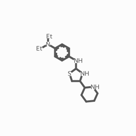 CCN(CC)c1ccc(NC2NC(C3CCCCN3)CS2)cc1